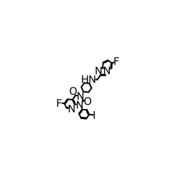 O=c1c2cc(F)cnc2n(-c2cccc(I)c2)c(=O)n1C1CCC(NCc2cn3cc(F)ccc3n2)CC1